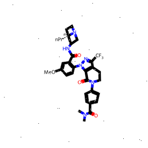 CCC[C@]12CCN1CC2NC(=O)c1cc(OC)ccc1-n1nc(C(F)(F)F)c2c1C(=O)N(c1ccc(C(=O)N(C)C)cc1)CC2